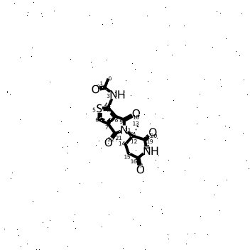 CC(=O)Nc1scc2c1C(=O)N([C@]1(C)CCC(=O)NC1=O)C2=O